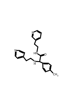 Cc1ccc(C(NCCc2ccncc2)C(=O)NCCc2cccnc2)cc1